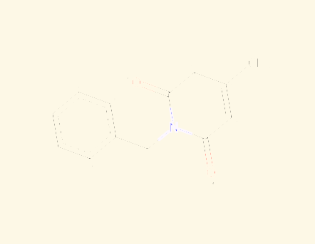 CC1=CC(=O)N(Cc2ccccc2)C(=O)C1